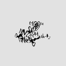 NCCCCC(N)C(=O)O.Nc1nc2c(ncn2[C@@H]2O[C@H](COP(=O)(O)O)[C@@H](O)[C@H]2O)c(=O)[nH]1